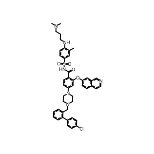 Cc1cc(S(=O)(=O)NC(=O)c2ccc(N3CCN(Cc4ccccc4-c4ccc(Cl)cc4)CC3)cc2Oc2ccc3ccncc3c2)ccc1NCCCN(C)C